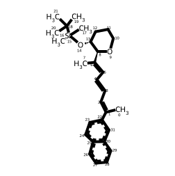 C\C(=C/C=C/C=C(\C)[C@@H]1OCCC[C@H]1O[Si](C)(C)C(C)(C)C)c1ccc2ccccc2c1